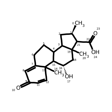 C[C@@H]1CC2C3CCC4=CC(=O)C=CC4(C)C3[C@@H](O)CC2(C)C1C(=O)O